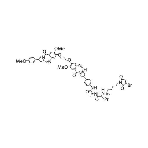 COc1ccc(C2=CN3C(=O)c4cc(OC)c(OCCCOc5cc6c(cc5OC)C(=O)N5C=C(c7ccc(NC(=O)[C@@H](C)NC(=O)C(NC(=O)CCCCCN8C(=O)C=C(Br)C8=O)C(C)C)cc7)C[C@H]5C=N6)cc4N=CC3C2)cc1